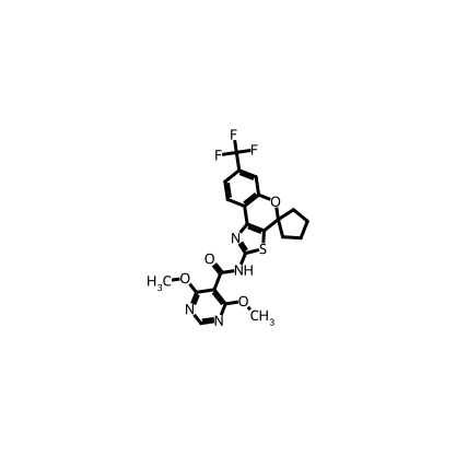 COc1ncnc(OC)c1C(=O)Nc1nc2c(s1)C1(CCCC1)Oc1cc(C(F)(F)F)ccc1-2